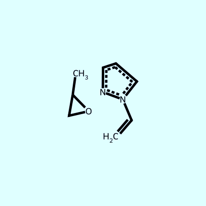 C=Cn1cccn1.CC1CO1